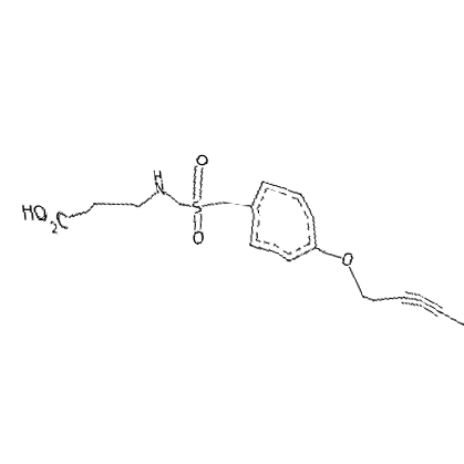 CC#CCOc1ccc(S(=O)(=O)NCCC(=O)O)cc1